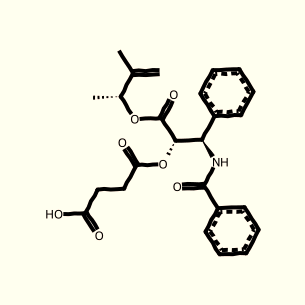 C=C(C)[C@@H](C)OC(=O)[C@@H](OC(=O)CCC(=O)O)[C@H](NC(=O)c1ccccc1)c1ccccc1